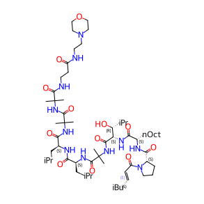 CCCCCCCC[C@H](NC(=O)[C@@H]1CCCN1C(=O)/C=C/[C@@H](C)CC)C(=O)N[C@H](C(=O)NC(C)(C)C(=O)N[C@@H](CC(C)C)C(=O)N[C@@H](CC(C)C)C(=O)NC(C)(C)C(=O)NC(C)(C)C(=O)NCCC(=O)NCCN1CCOCC1)[C@H](O)C(C)C